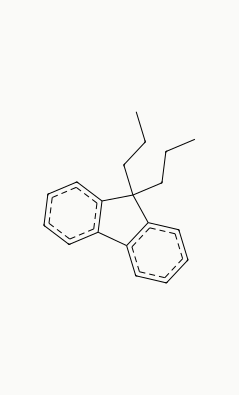 CCCC1(CCC)c2ccccc2-c2ccccc21